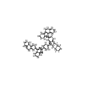 c1ccc2cc3c(cc2c1)c1ccc(-n2c4ccccc4c4ccc5ccccc5c42)cc1n3-c1ccc(-c2nc(-c3ccc4c(ccc5ccccc54)c3)c3ccccc3n2)cc1